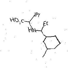 CCC(NC(C(=O)O)C(C)C)C1CCCC(C)C1